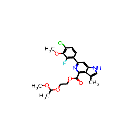 COc1c(Cl)ccc(-c2cc3[nH]cc(C)c3c(C(=O)OCCOC(C)OC)n2)c1F